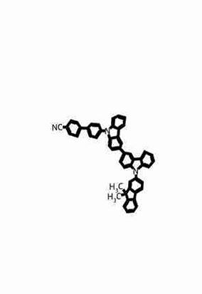 CC1(C)c2ccccc2-c2ccc(-n3c4ccccc4c4cc(-c5ccc6c(c5)c5ccccc5n6-c5ccc(-c6ccc(C#N)cc6)cc5)ccc43)cc21